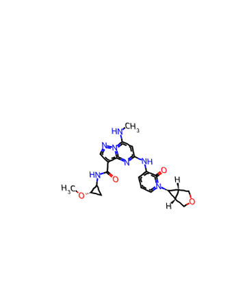 CNc1cc(Nc2cccn([C@H]3[C@@H]4COC[C@@H]43)c2=O)nc2c(C(=O)NC3C[C@@H]3OC)cnn12